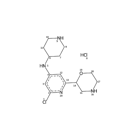 Cl.Clc1cc(NC2CCNCC2)cc(C2CNCCO2)n1